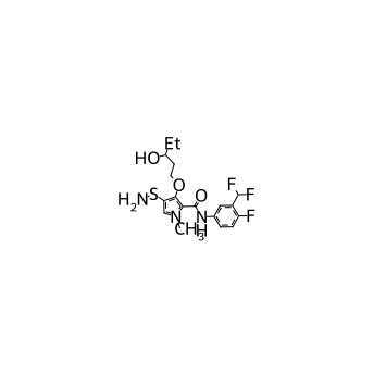 CCC(O)CCOc1c(SN)cn(C)c1C(=O)Nc1ccc(F)c(C(F)F)c1